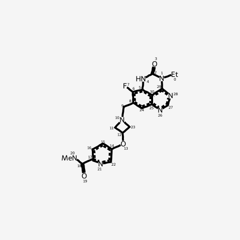 CCN1C(=O)Nc2c(F)c(CN3CC(Oc4ccc(C(=O)NC)nc4)C3)cc3ncnc1c23